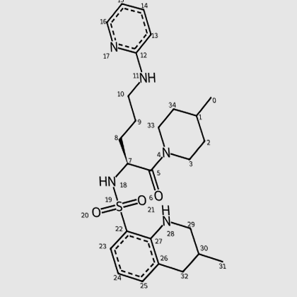 CC1CCN(C(=O)[C@H](CCCNc2ccccn2)NS(=O)(=O)c2cccc3c2NCC(C)C3)CC1